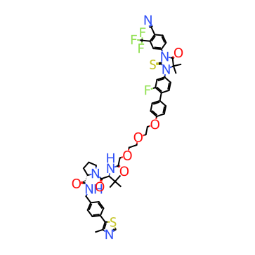 Cc1ncsc1-c1ccc(CNC(=O)[C@@H]2CCCN2C(=O)[C@@H](NC(=O)COCCOCCOc2ccc(-c3ccc(N4C(=S)N(c5ccc(C#N)c(C(F)(F)F)c5)C(=O)C4(C)C)cc3F)cc2)C(C)(C)C)cc1